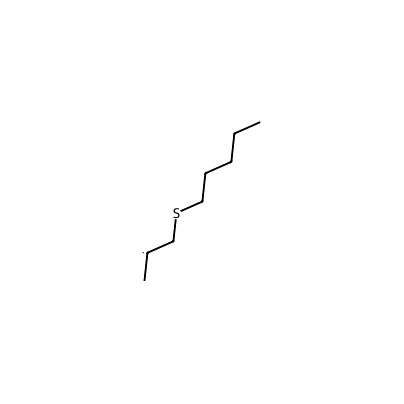 C[CH]CSCCCCC